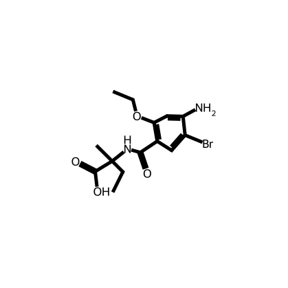 CCOc1cc(N)c(Br)cc1C(=O)NC(C)(CC)C(=O)O